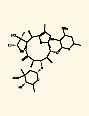 C=C1O[C@@H]([C@](C)(O)[C@H](O)CC)[C@@H](C)C2=C(C)C[C@@](C)(O2)[C@H](O[C@@H]2OC(C)CC(NC)C2O)[C@@H](C)[C@H](O[C@H]2CC(C)(OC)[C@@H](O)C(C)O2)[C@H]1C